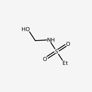 CCS(=O)(=O)NCO